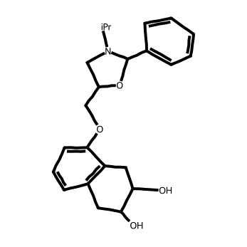 CC(C)N1CC(COc2cccc3c2CC(O)C(O)C3)OC1c1ccccc1